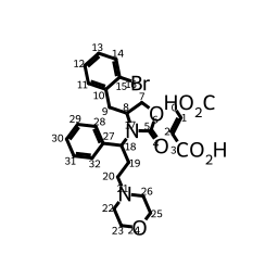 O=C(O)/C=C/C(=O)O.O=C1OCC(Cc2ccccc2Br)N1C(CCN1CCOCC1)c1ccccc1